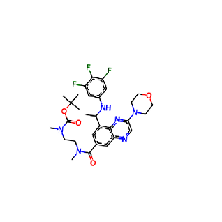 CC(Nc1cc(F)c(F)c(F)c1)c1cc(C(=O)N(C)CCN(C)C(=O)OC(C)(C)C)cc2ncc(N3CCOCC3)nc12